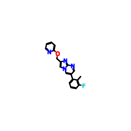 Cc1c(F)cccc1-c1cnc2nc(COc3ccccn3)cn2c1